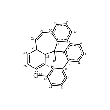 CC1(c2ccccc2C2=C=C=CC(Cl)=C2)c2ccccc2C=CC2C=CC=CC21